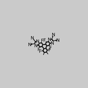 Cc1c(C)c(F)c2c(c1F)c1c(F)c3nc(C#N)c(C#N)nc3c(F)c1c1c(F)c3nc(C#N)c(C#N)nc3c(F)c21